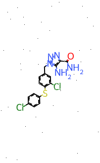 NC(=O)c1nnn(Cc2ccc(Sc3ccc(Cl)cc3)c(Cl)c2)c1N